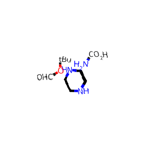 C1CNCCN1.CC(C)(C)OC=O.NC(=O)O